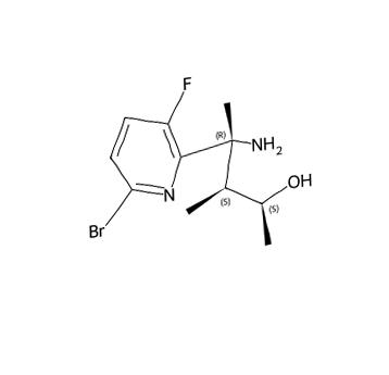 C[C@H](O)[C@@H](C)[C@@](C)(N)c1nc(Br)ccc1F